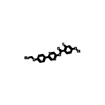 CCOc1ccc(C(=O)Oc2cnc(-c3ccc(OCC(C)CC)cc3)cn2)c(F)c1